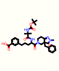 CN1N=C2CCN(C(=O)C(CCCc3cccc(C(=O)O)c3)NC(=O)C(C)(C)NC(=O)OC(C)(C)C)CC2(Cc2ccccc2)C1=O